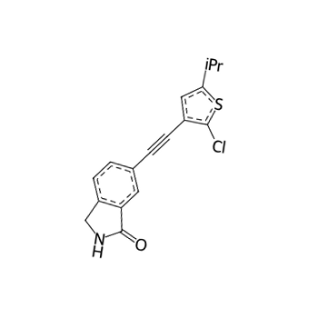 CC(C)c1cc(C#Cc2ccc3c(c2)C(=O)NC3)c(Cl)s1